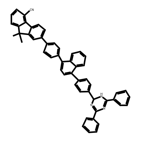 CC1(C)c2cc(-c3ccc(-c4ccc(-c5ccc(C6N=C(c7ccccc7)N=C(c7ccccc7)N6)cc5)c5ccccc45)cc3)ccc2-c2c(C#N)cccc21